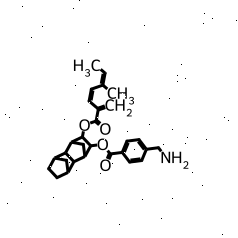 C=C(/C=C\C(C)=C/C)C(=O)OC1C2CC(C1OC(=O)c1ccc(CN)cc1)C1C3CCC(C3)C21